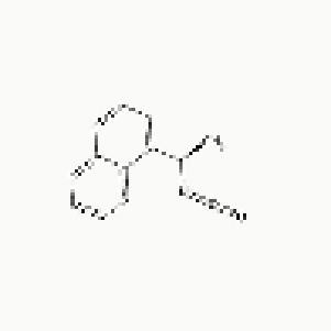 C[C@@H](N=C=O)c1cccc2ccccc12